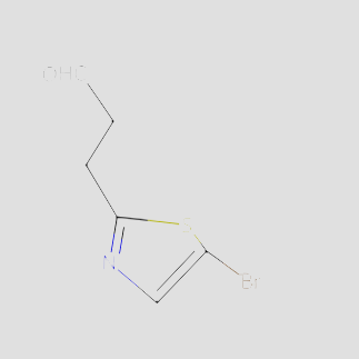 O=CCCc1ncc(Br)s1